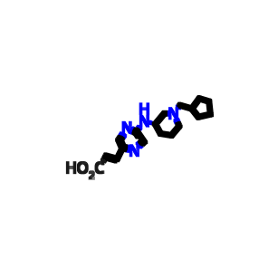 O=C(O)C=Cc1cnc(N[C@@H]2CCCN(CC3CCCC3)C2)cn1